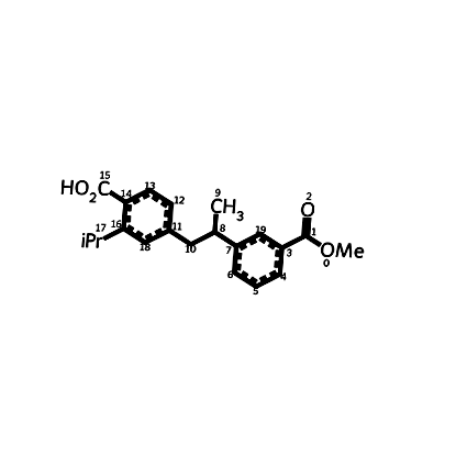 COC(=O)c1cccc(C(C)Cc2ccc(C(=O)O)c(C(C)C)c2)c1